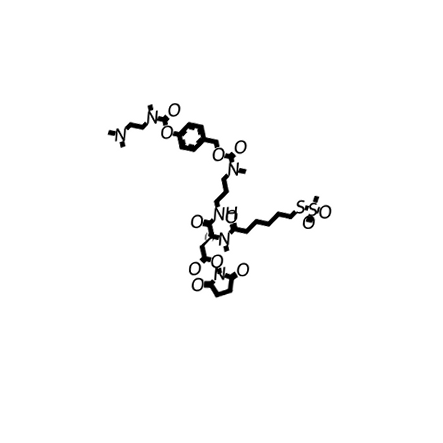 CN(C)CCN(C)C(=O)Oc1ccc(COC(=O)N(C)CCCNC(=O)[C@H](CC(=O)ON2C(=O)CCC2=O)N(C)C(=O)CCCCCSS(C)(=O)=O)cc1